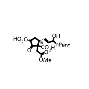 CCCCCC(O)C=C[C@H]1C[C@H](C(=O)O)C(=O)C1(CC(=O)OC)C(=O)O